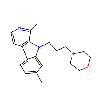 Cc1ccc2c3ccnc(C)c3n(CCCN3CCOCC3)c2c1